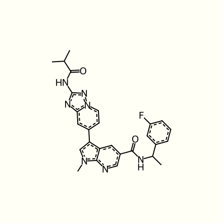 CC(C)C(=O)Nc1nc2cc(-c3cn(C)c4ncc(C(=O)NC(C)c5cccc(F)c5)cc34)ccn2n1